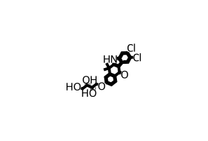 CC1(C)c2cc(OC[C@@H](O)[C@H](O)CO)ccc2C(=O)c2c1[nH]c1cc(Cl)c(Cl)cc21